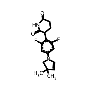 CC1(C)C=CN(c2cc(F)c(C3CCC(=O)NC3=O)c(F)c2)C1